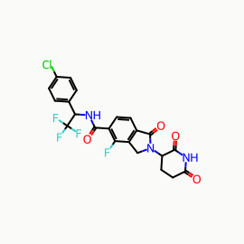 O=C1CCC(N2Cc3c(ccc(C(=O)NC(c4ccc(Cl)cc4)C(F)(F)F)c3F)C2=O)C(=O)N1